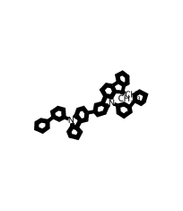 CC1(C)c2ccccc2-c2ccc3c4cc(-c5ccc6c(c5)c5ccccc5n6-c5cccc(-c6ccccc6)c5)ccc4n(-c4cccc(-c5ccccc5)c4)c3c21